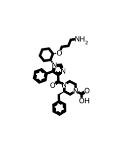 NCCCO[C@H]1CCCC[C@@H]1n1cnc(C(=O)N2CCN(C(=O)O)C[C@H]2Cc2ccccc2)c1-c1ccccc1